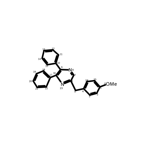 COc1ccc(Cc2cnc(-c3ccccc3)c(-c3ccccc3)n2)cc1